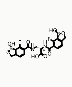 O=C(NC[C@H](NC(=O)c1ccc2c(c1F)B(O)OC2)C(=O)O)C1=C(F)C2B(O)OCC2C=C1